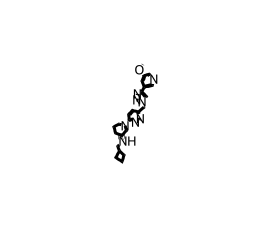 COc1cncc(-c2cn(Cc3ccc(N4CCC[C@@H](NCC5CCC5)C4)nn3)nn2)c1